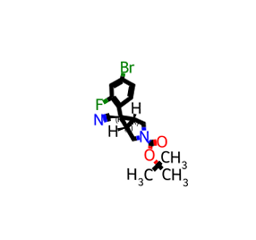 CC(C)(C)OC(=O)N1C[C@@H]2[C@H](C1)[C@]2(C#N)c1ccc(Br)cc1F